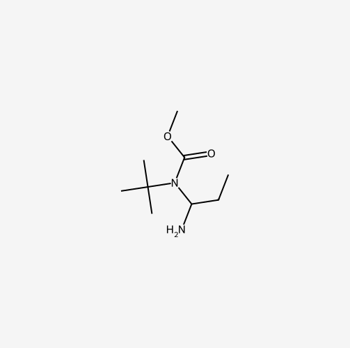 CCC(N)N(C(=O)OC)C(C)(C)C